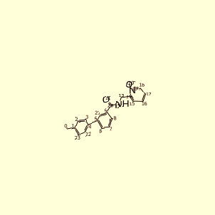 Cc1ccc(-c2cccc(C(=O)NCc3cccc[n+]3[O-])c2)cc1